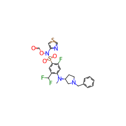 CN(c1cc(F)c(S(=O)(=O)N(OC=O)c2cscn2)cc1C(F)F)[C@H]1CCN(Cc2ccccc2)C1